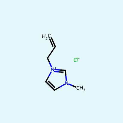 C=CC[n+]1ccn(C)c1.[Cl-]